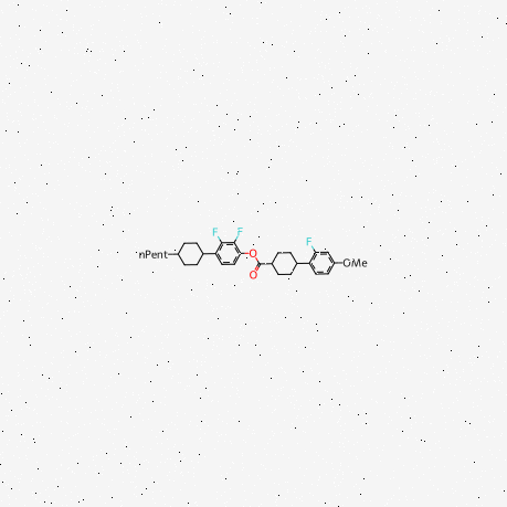 CCCCCC1CCC(c2ccc(OC(=O)C3CCC(c4ccc(OC)cc4F)CC3)c(F)c2F)CC1